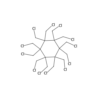 ClCC1(CCl)C(CCl)(CCl)C(CCl)(CCl)C(CCl)(CCl)C(CCl)(CCl)C1(CCl)CCl